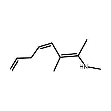 C=CC/C=C\C(C)=C(/C)NC